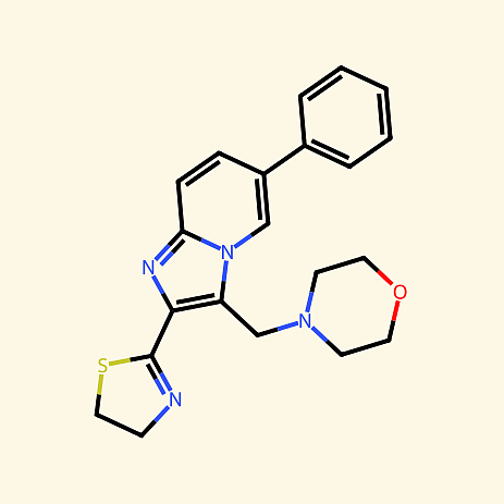 c1ccc(-c2ccc3nc(C4=NCCS4)c(CN4CCOCC4)n3c2)cc1